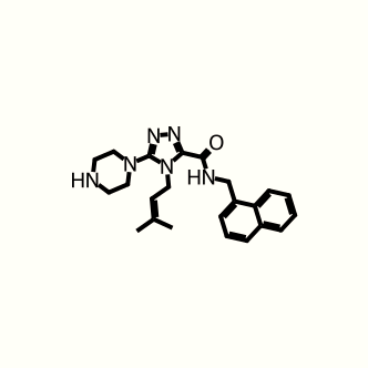 CC(C)=CCn1c(C(=O)NCc2cccc3ccccc23)nnc1N1CCNCC1